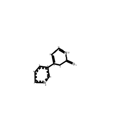 O=C1CC(c2cccnc2)=CC=N1